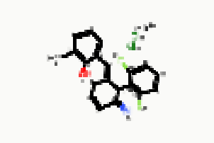 Cc1cccc(C=C2CC=CC(=N)C2c2c(F)cccc2F)c1O.[Cl-].[Cl-].[Ti+2]